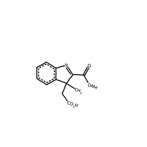 COC(=O)C1=Nc2ccccc2C1(C)CC(=O)O